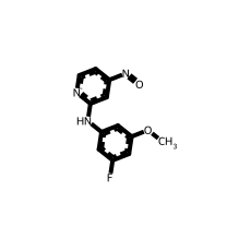 COc1cc(F)cc(Nc2cc(N=O)ccn2)c1